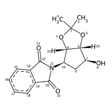 CC1(C)O[C@@H]2[C@H](O1)[C@@H](O)C[C@H]2N1C(=O)c2ccccc2C1=O